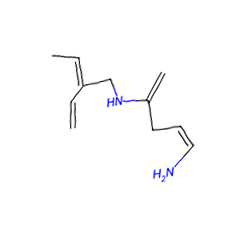 C=C/C(=C\C)CNC(=C)C/C=C\N